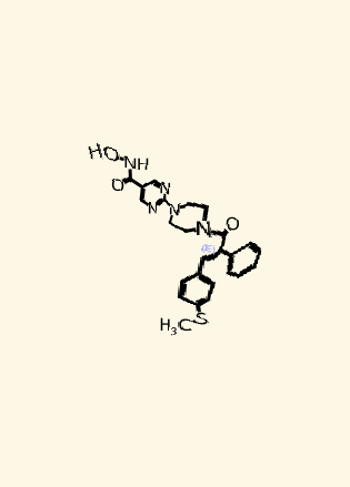 CSc1ccc(/C=C(/C(=O)N2CCN(c3ncc(C(=O)NO)cn3)CC2)c2ccccc2)cc1